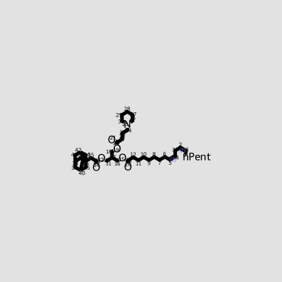 CCCCC/C=C\C/C=C\CCCCCCCC(=O)OCC(COC(=O)CCCN1CCCCC1)COC(=O)CC12CC3CC(CC(C3)C1)C2